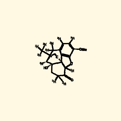 [2H]c1c([2H])c2c3c(c1OC)OC1([2H])C(=O)C([2H])([2H])C[C@]4(O)[C@@]31CCN(C([2H])([2H])[2H])[C@]4([2H])C2([2H])[2H]